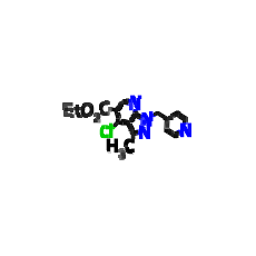 CCOC(=O)c1cnc2c(c(C)nn2Cc2ccncc2)c1Cl